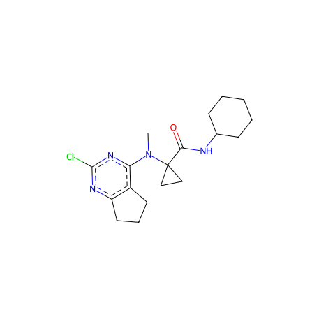 CN(c1nc(Cl)nc2c1CCC2)C1(C(=O)NC2CCCCC2)CC1